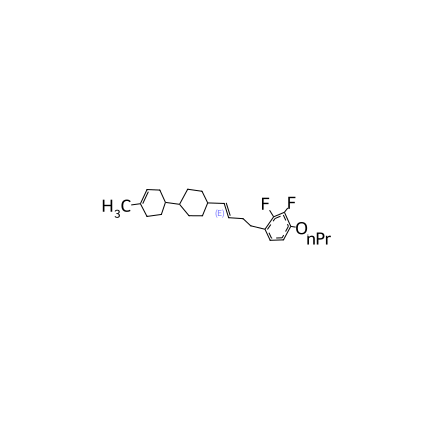 CCCOc1ccc(CC/C=C/C2CCC(C3CC=C(C)CC3)CC2)c(F)c1F